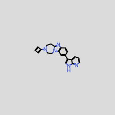 C1=CC(N2CCc3nc4ccc(-c5c[nH]c6ncccc56)cc4n3CC2)=C1